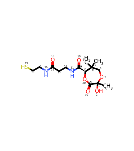 CC1(O)OCC(C)(C)[C@H](C(=O)NCCC(=O)NCCS)OC1=O